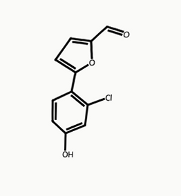 O=Cc1ccc(-c2ccc(O)cc2Cl)o1